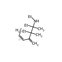 C=C(/C=C\C)C(C)(CC)C(C)(CC)NCC